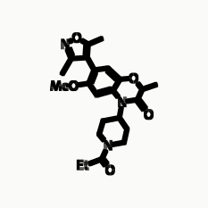 CCC(=O)N1CCC(N2C(=O)C(C)Oc3cc(-c4c(C)noc4C)c(OC)cc32)CC1